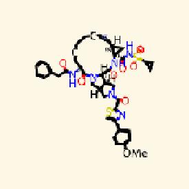 COc1ccc(-c2csc(C(=O)N3C[C@H]4CN5C(=O)[C@@H](NC(=O)Cc6ccccc6)CCCCC/C=C\[C@@H]6C[C@@]6(C(=O)NS(=O)(=O)C6CC6)NC(=O)[C@@H]5[C@H]4C3)n2)cc1